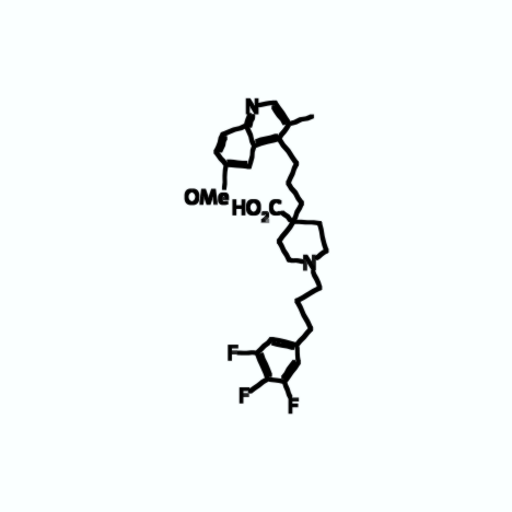 COc1ccc2ncc(C)c(CCCC3(C(=O)O)CCN(CCCc4cc(F)c(F)c(F)c4)CC3)c2c1